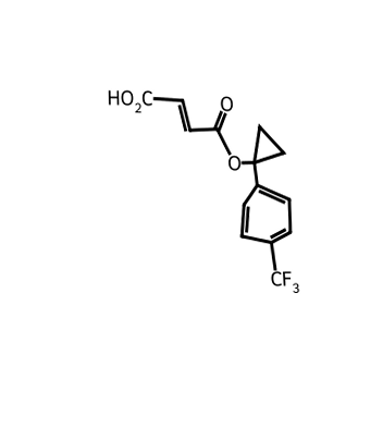 O=C(O)/C=C/C(=O)OC1(c2ccc(C(F)(F)F)cc2)CC1